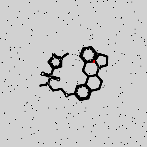 CN(CCOc1ccc2c(c1)C(Cc1ccccc1)C(N1CCCC1)CC2)S(=O)(=O)c1cnn(C)c1